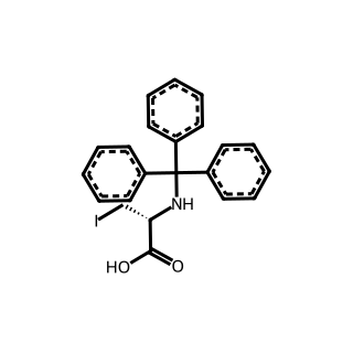 O=C(O)[C@H](CI)NC(c1ccccc1)(c1ccccc1)c1ccccc1